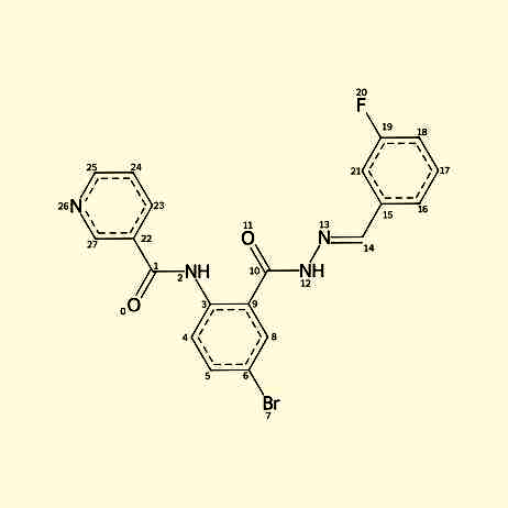 O=C(Nc1ccc(Br)cc1C(=O)N/N=C/c1cccc(F)c1)c1cccnc1